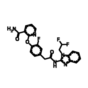 NC(=O)c1cccnc1Oc1ccc(CC(=O)Nc2nc3ccccc3n2CC(F)F)cc1F